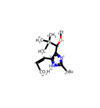 CCCCc1nc(C(OCC)[Si](C)(C)C)c(/C=C\C(=O)O)[nH]1